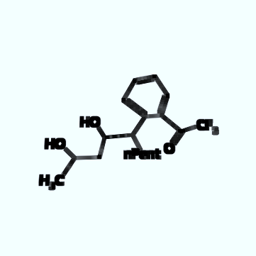 CCCCCC(c1ccccc1C(=O)C(F)(F)F)C(O)CC(C)O